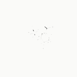 O=C(O)[C@H]1O[C@@H](O)[C@H](O)[C@@H](O)[C@@H]1OS(=O)(=O)O